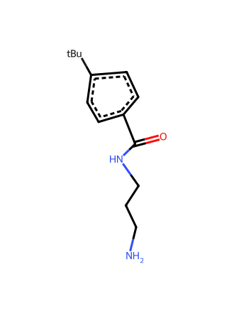 CC(C)(C)c1ccc(C(=O)NCCCN)cc1